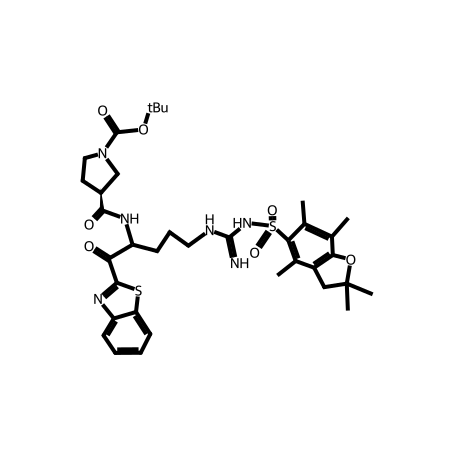 Cc1c(C)c(S(=O)(=O)NC(=N)NCCCC(NC(=O)[C@H]2CCN(C(=O)OC(C)(C)C)C2)C(=O)c2nc3ccccc3s2)c(C)c2c1OC(C)(C)C2